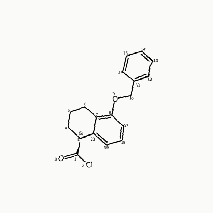 O=C(Cl)[C@H]1CCCc2c(OCc3ccccc3)cccc21